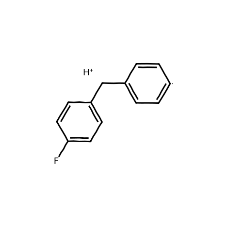 Fc1ccc(Cc2cc[c]cc2)cc1.[H+]